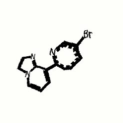 Brc1ccc(C2=CC=CN3CCN=C23)nc1